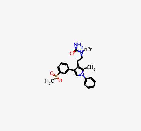 CCCN(CCc1c(-c2cccc(S(C)(=O)=O)c2)cn(-c2ccccc2)c1C)C(N)=O